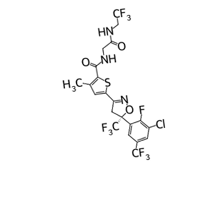 Cc1cc(C2=NO[C@](c3cc(C(F)(F)F)cc(Cl)c3F)(C(F)(F)F)C2)sc1C(=O)NCC(=O)NCC(F)(F)F